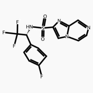 O=S(=O)(N[C@H](c1ccc(F)cc1)C(F)(F)F)c1cn2ccncc2n1